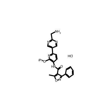 Cc1onc(-c2ccccc2)c1C(=O)Nc1ccc(-c2cnc(CN)nc2)nc1OC(C)C.Cl